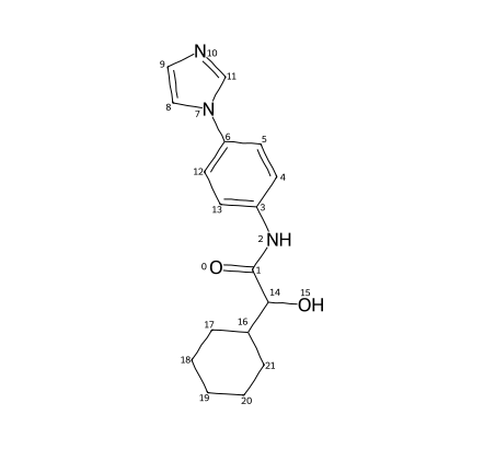 O=C(Nc1ccc(-n2ccnc2)cc1)C(O)C1CCCCC1